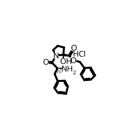 Cl.N[C@@H](Cc1ccccc1)C(=O)N1CCC[C@]1(O)C(=O)OCc1ccccc1